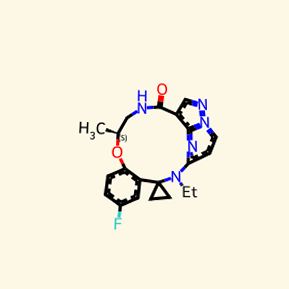 CCN1c2ccn3ncc(c3n2)C(=O)NC[C@H](C)Oc2ccc(F)cc2C12CC2